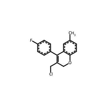 Cc1ccc2c(c1)C(c1ccc(F)cc1)=C(CCl)CO2